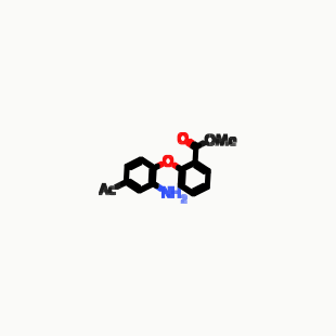 COC(=O)c1ccccc1Oc1ccc(C(C)=O)cc1N